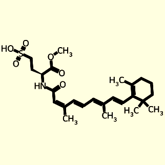 COC(=O)[C@H](CCS(=O)(=O)O)NC(=O)\C=C(C)/C=C/C=C(C)/C=C/C1=C(C)CCCC1(C)C